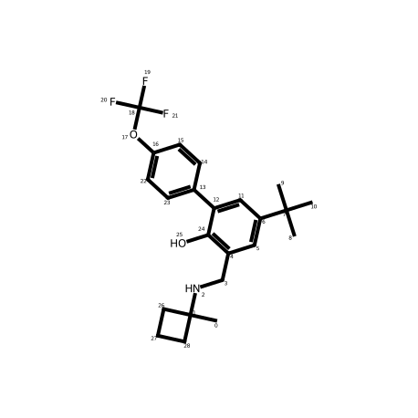 CC1(NCc2cc(C(C)(C)C)cc(-c3ccc(OC(F)(F)F)cc3)c2O)CCC1